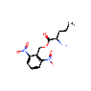 CCCC(N)C(=O)OCc1c([N+](=O)[O-])cccc1[N+](=O)[O-]